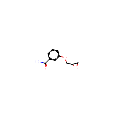 NC(=O)c1cccc(OCC2CO2)c1